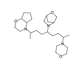 CC(CCC(CCC(C)N1CCOC2CCCC21)N1CC2CC1CO2)N1CCOCC1